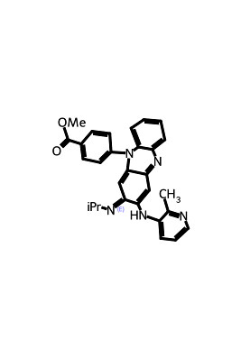 COC(=O)c1ccc(-n2c3c/c(=N\C(C)C)c(Nc4cccnc4C)cc-3nc3ccccc32)cc1